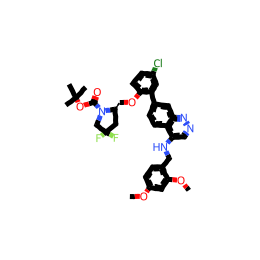 COc1ccc(CNc2cnnc3cc(-c4cc(Cl)ccc4OC[C@@H]4CC(F)(F)CN4C(=O)OC(C)(C)C)ccc23)c(OC)c1